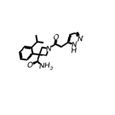 CC(C)c1ccccc1C1(C(N)=O)CN(C(=O)Cc2ccn[nH]2)C1